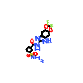 NS(=O)(=O)c1cccc(C(=O)Nc2nc3cc4c(cc3[nH]2)OC(F)(F)O4)c1